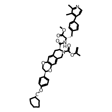 C=C(C)OC(=O)N1Cc2cc3c(cc2C[C@H]1C(=O)N[C@@H](Cc1ccc(-c2ccnc(C)c2C)cc1)C(=O)OC)OC[C@H](c1ccc(OCC2CCCCC2)cc1)O3